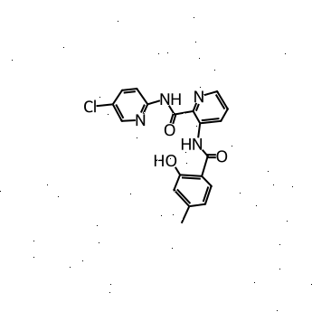 Cc1ccc(C(=O)Nc2cccnc2C(=O)Nc2ccc(Cl)cn2)c(O)c1